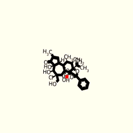 C=C(C)[C@@]12OC3(c4ccccc4)O[C@@H]1[C@@H]1[C@H](O)[C@](Cl)(CO)[C@@H](O)[C@]4(O)C(=O)C(C)=C[C@H]4[C@@]1(O3)[C@H](C)[C@H]2C